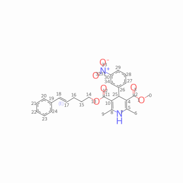 COC(=O)C1=C(C)NC(C)=C(C(=O)OCCC/C=C/c2ccccc2)C1c1cccc([N+](=O)[O-])c1